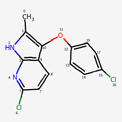 Cc1[nH]c2nc(Cl)ccc2c1Oc1ccc(Cl)cc1